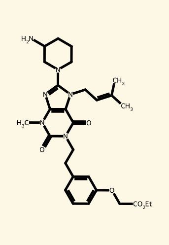 CCOC(=O)COc1cccc(CCn2c(=O)c3c(nc(N4CCCC(N)C4)n3CC=C(C)C)n(C)c2=O)c1